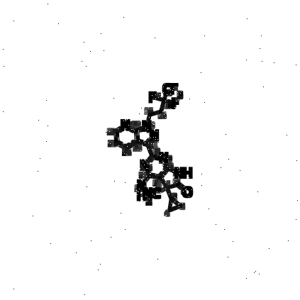 N#CC1(C2CC2)C(=O)Nc2nc(-c3nn(CCC(F)(F)C(F)(F)F)c4ncccc34)nc(N)c21